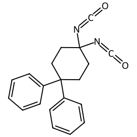 O=C=NC1(N=C=O)CCC(c2ccccc2)(c2ccccc2)CC1